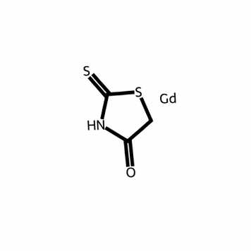 O=C1CSC(=S)N1.[Gd]